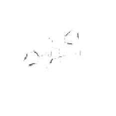 O=C(O)C(F)(C(=O)Nc1ccccc1F)C(C[N+](=O)[O-])c1ccccc1